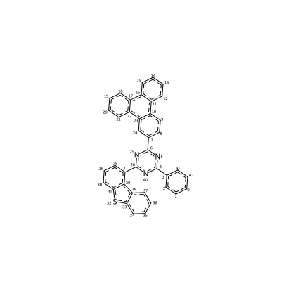 c1ccc(-c2nc(-c3ccc4c5ccccc5c5ccccc5c4c3)nc(-c3cccc4sc5ccccc5c34)n2)cc1